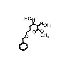 COC(=O)C(=N\O)/C(CCCOCc1ccccc1)=N/O